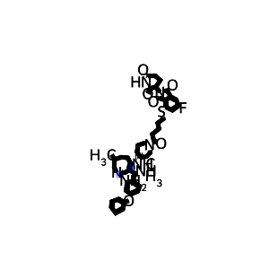 CC1CC/C(N[C@@H]2CCCN(C(=O)CCCCSc3cc(F)cc4c3C(=O)N(C3CCC(=O)NC3=O)C4=O)CC2C)=C(C(=N)c2ccc(Oc3ccccc3)cc2)\C(N)=N/C1